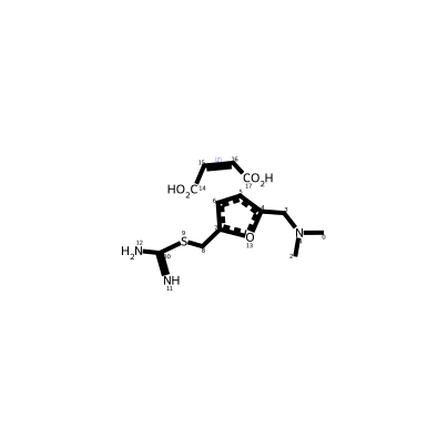 CN(C)Cc1ccc(CSC(=N)N)o1.O=C(O)/C=C\C(=O)O